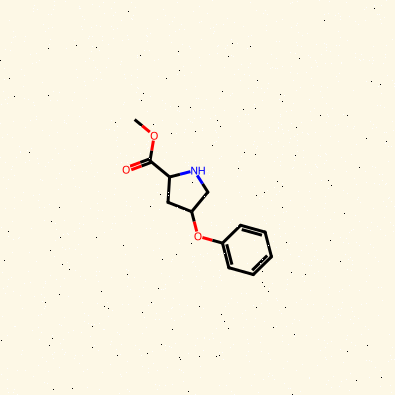 COC(=O)C1CC(Oc2ccccc2)CN1